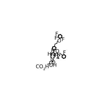 O=C(O)C[C@H](O)CC(=O)N1C[C@H]2CC(c3ccc(CCCOc4c(F)ccc(F)c4F)cc3)=C(C(=O)N(Cc3ccccc3F)C3CC3)[C@@H](C1)N2